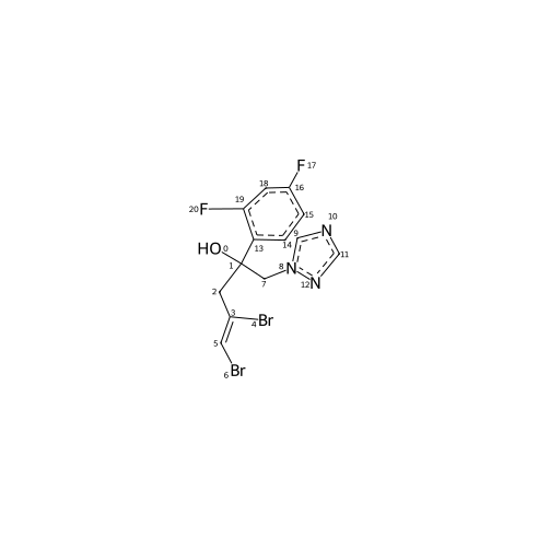 OC(C/C(Br)=C/Br)(Cn1cncn1)c1ccc(F)cc1F